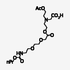 CCCOC(=O)NCCOCCOCC(=O)OCCN(CCOC(C)=O)CC(=O)O